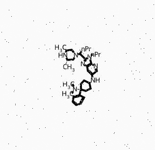 CCCC(c1nc2cc(N[C@H]3CC[C@@](c4ccccc4)(N(C)C)CC3)cnc2n1CCC)N1C[C@@H](C)N[C@@H](C)C1